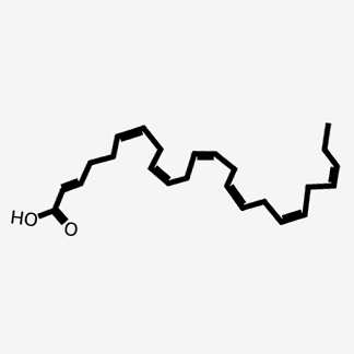 CC/C=C\C/C=C\C/C=C\C/C=C\C/C=C\C/C=C\CC/C=C/C(=O)O